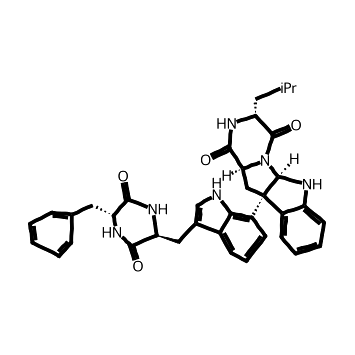 CC(C)C[C@H]1NC(=O)[C@@H]2C[C@]3(c4cccc5c(C[C@@H]6NC(=O)[C@@H](Cc7ccccc7)NC6=O)c[nH]c45)c4ccccc4N[C@@H]3N2C1=O